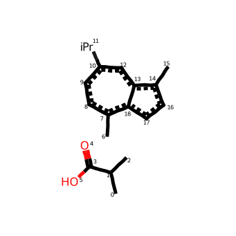 CC(C)C(=O)O.Cc1ccc(C(C)C)cc2c(C)ccc1-2